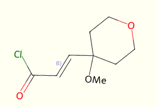 COC1(/C=C/C(=O)Cl)CCOCC1